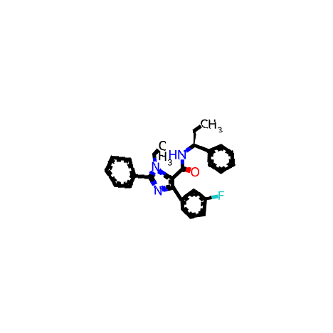 CC[C@H](NC(=O)c1c(-c2cccc(F)c2)nc(-c2ccccc2)n1CC)c1ccccc1